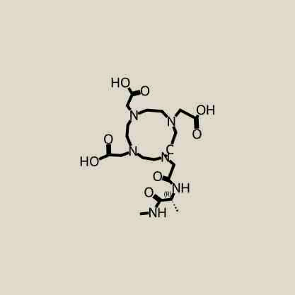 CNC(=O)[C@@H](C)NC(=O)CN1CCN(CC(=O)O)CCN(CC(=O)O)CCN(CC(=O)O)CC1